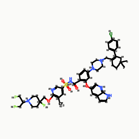 CC1(C)CCC(CN2CCN(c3ccc(C(=O)NS(=O)(=O)c4cnc(OCC5(F)CCN(C(CF)CF)CC5)c(C(F)(F)F)c4)c(Oc4cnc5[nH]ccc5c4)c3)CC2)=C(c2ccc(Cl)cc2)C1